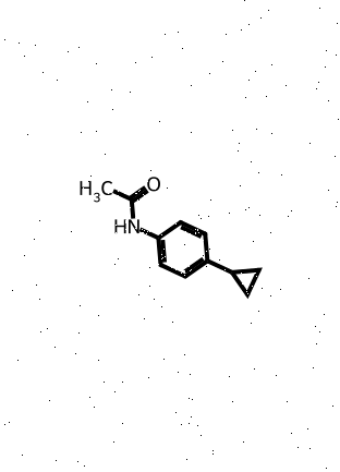 CC(=O)Nc1ccc(C2CC2)cc1